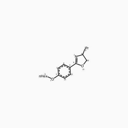 CCCCCCOc1ccc(C2=NC(C(C)C)CO2)cc1